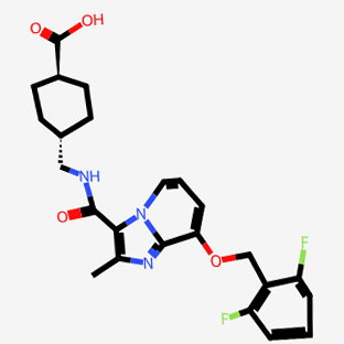 Cc1nc2c(OCc3c(F)cccc3F)cccn2c1C(=O)NC[C@H]1CC[C@H](C(=O)O)CC1